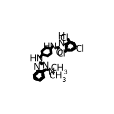 CN(C)c1nc(NC2CCC(NC(=O)Nc3c(Cl)cc(Cl)cc3Cl)CC2)nc2ccccc12